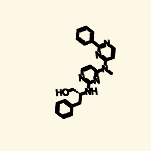 CN(c1ccnc(N[C@@H](CO)Cc2ccccc2)n1)c1ccnc(-c2ccccc2)n1